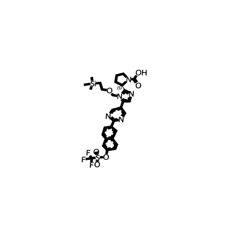 C[Si](C)(C)CCOCn1c(-c2cnc(-c3ccc4cc(OS(=O)(=O)C(F)(F)F)ccc4c3)nc2)cnc1[C@@H]1CCCN1C(=O)O